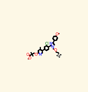 COC(=O)C(C)(C)COc1cc(C)c(-c2ccc(-c3nc(-c4ccc(OC)cc4)cn3COCC[Si](C)(C)C)c(Cl)c2)cn1